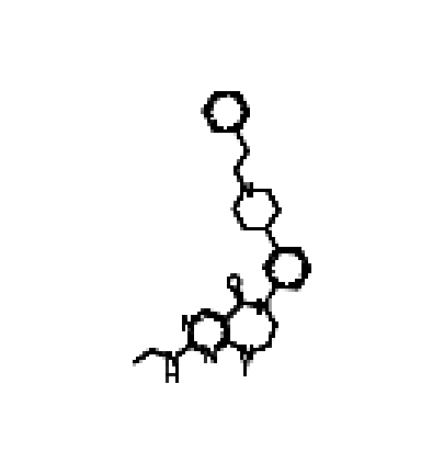 CCNc1ncc2c(n1)N(C)CCN(c1cccc(C3CCN(CCc4ccccc4)CC3)c1)C2=O